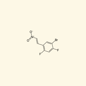 O=[N+]([O-])/C=C/c1cc(Br)c(F)cc1F